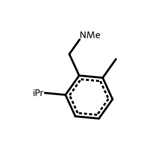 CNCc1c(C)cccc1C(C)C